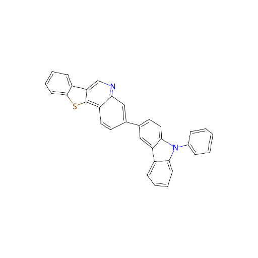 c1ccc(-n2c3ccccc3c3cc(-c4ccc5c(c4)ncc4c6ccccc6sc54)ccc32)cc1